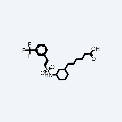 O=C(O)CCCC=CC1CCCC(NS(=O)(=O)C=Cc2cccc(C(F)(F)F)c2)C1